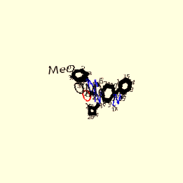 COc1ccc(N2C[C@]3(CC[C@](c4ccccc4)(N(C)C)CC3)N(CC3CCC3)C2=O)c(OC)c1